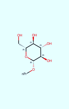 CCCO[C@@H]1O[C@H](CO)[C@@H](O)[C@H](O)[C@H]1O